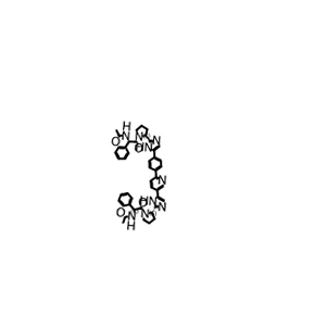 CC(=O)NC(C(=O)N1CCC[C@H]1c1ncc(-c2ccc(-c3ccc(-c4cnc([C@@H]5CCCN5C(=O)[C@H](NC(C)=O)c5ccccc5)[nH]4)cn3)cc2)[nH]1)c1ccccc1